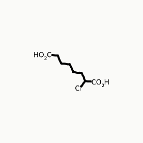 O=C(O)CCCCCC(Cl)C(=O)O